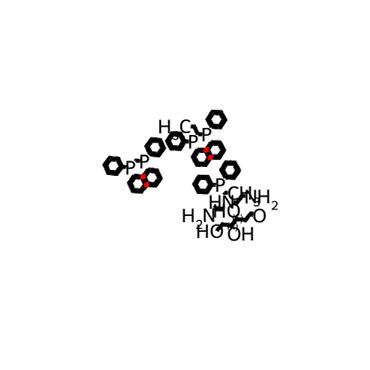 CCC(P(c1ccccc1)c1ccccc1)P(c1ccccc1)c1ccccc1.CCP(c1ccccc1)c1ccccc1.NCCNCCN.O=CC[C@H](O)[C@H](O)CO.c1ccc(P(CP(c2ccccc2)c2ccccc2)c2ccccc2)cc1